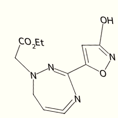 CCOC(=O)CN1CC=C=NC(c2cc(O)no2)=N1